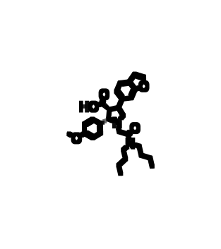 CCCCN(CCCC)C(=O)CN1CC(c2ccc3ccoc3c2)[C@H](C(=O)O)[C@H]1c1ccc(OC)cc1